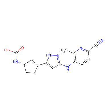 Cc1nc(C#N)ccc1Nc1cc(C2CC[C@H](NC(=O)O)C2)[nH]n1